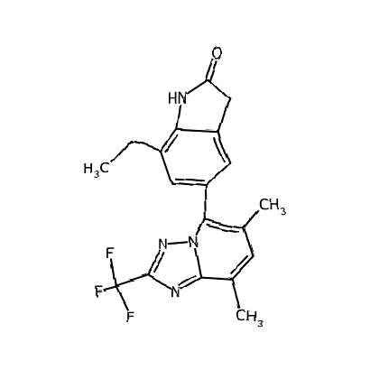 CCc1cc(-c2c(C)cc(C)c3nc(C(F)(F)F)nn23)cc2c1NC(=O)C2